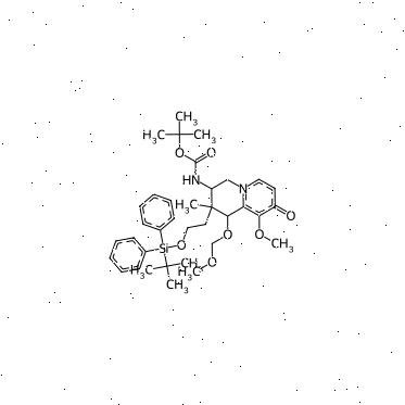 COCOC1c2c(OC)c(=O)ccn2CC(NC(=O)OC(C)(C)C)C1(C)CCO[Si](c1ccccc1)(c1ccccc1)C(C)(C)C